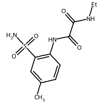 CCNC(=O)C(=O)Nc1ccc(C)cc1S(N)(=O)=O